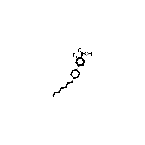 CCCCCCC[C@H]1CC[C@H](c2ccc(C(=O)O)c(F)c2)CC1